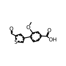 COc1cc(C(=O)O)ccc1-c1csc(C=O)c1